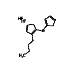 CCCCC1=[C]([Zr][C]2=CC=CC2)CC=C1.F.F